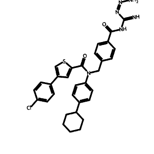 N=C(/N=N\N)NC(=O)c1ccc(CN(C(=O)c2cc(-c3ccc(Cl)cc3)cs2)c2ccc(C3CCCCC3)cc2)cc1